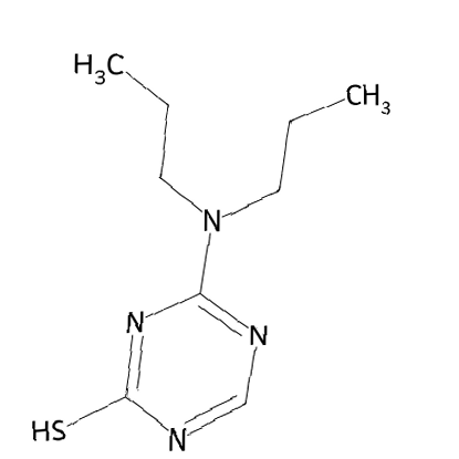 CCCN(CCC)c1ncnc(S)n1